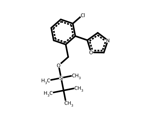 CC(C)(C)[Si](C)(C)OCc1cccc(Cl)c1-c1cnco1